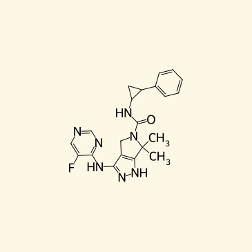 CC1(C)c2[nH]nc(Nc3ncncc3F)c2CN1C(=O)NC1CC1c1ccccc1